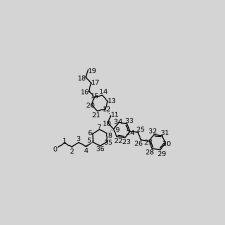 CCCCC[C@H]1CC[C@H](C2(CC[C@H]3CC[C@H](CCCC)CC3)C=CC(CCc3ccccc3)=CC2)CC1